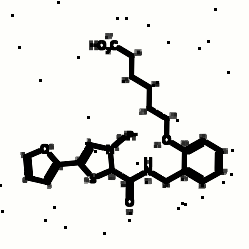 CC(C)N1C=C(c2ccco2)SC1C(=O)NCc1ccccc1OCCCCCC(=O)O